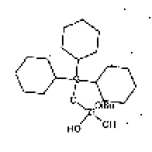 CC(C)C[O][Zr]([OH])([OH])[O][Si](C1CCCCC1)(C1CCCCC1)C1CCCCC1